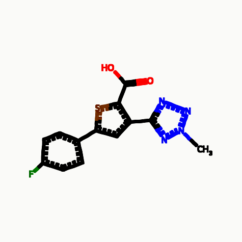 Cn1nnc(-c2cc(-c3ccc(F)cc3)sc2C(=O)O)n1